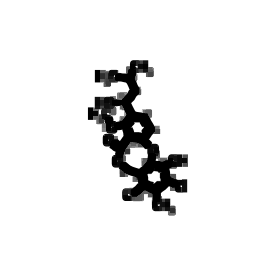 COc1c([C@@H](O)CC(C)C)ccc2c1C(=O)OCc1c(Cl)c(C)c(Cl)c(O)c1O2